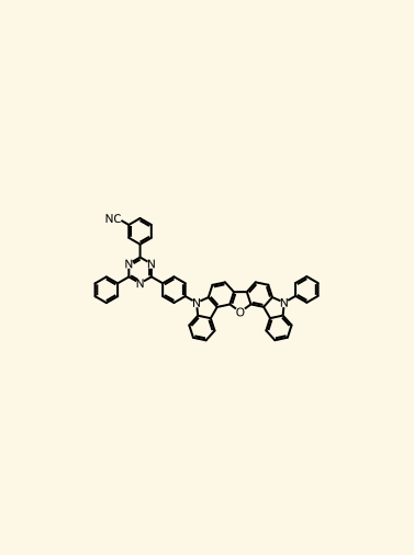 N#Cc1cccc(-c2nc(-c3ccccc3)nc(-c3ccc(-n4c5ccccc5c5c6oc7c(ccc8c7c7ccccc7n8-c7ccccc7)c6ccc54)cc3)n2)c1